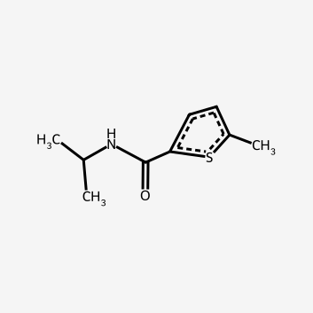 Cc1ccc(C(=O)NC(C)C)s1